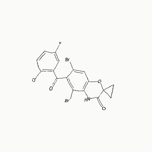 O=C(c1cc(F)ccc1Cl)c1c(Br)cc2c(c1Br)NC(=O)C1(CC1)O2